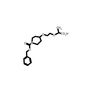 CC(OCCOC1CCN(C(=O)OCc2ccccc2)CC1)C(=O)O